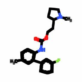 Cc1ccc(NC(=O)OCCC2CCCN2C)c(-c2cccc(F)c2)c1